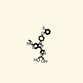 CCNc1cc2c(cn1)c(-c1cnn(C(CO)CO)c1)nn2C1CCC(Oc2ccccc2F)CC1